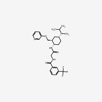 CC(C)N(C)[C@@H]1CC[C@H](NC(=O)CNC(=O)c2cccc(C(F)(F)F)c2)[C@@H](COc2cccnc2)C1